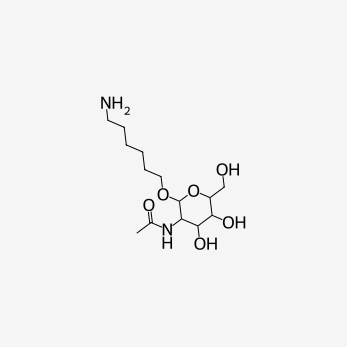 CC(=O)NC1C(OCCCCCCN)OC(CO)C(O)C1O